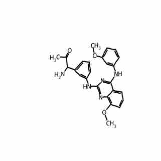 COc1cccc(Nc2nc(Nc3cccc(C(N)C(C)=O)c3)nc3c(OC)cccc23)c1